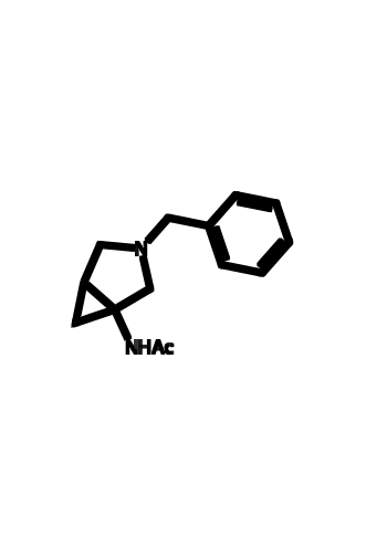 CC(=O)NC12CC1CN(Cc1ccccc1)C2